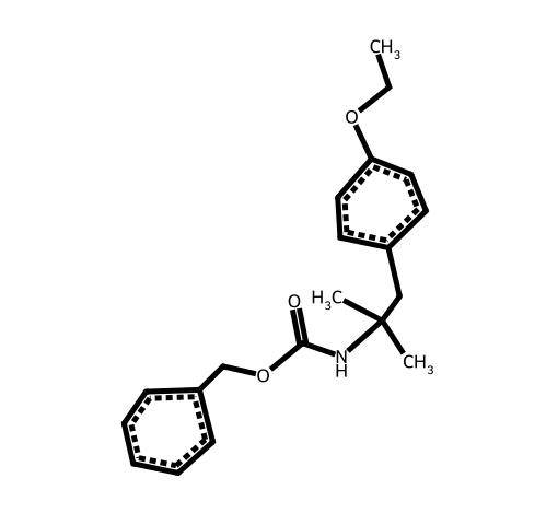 CCOc1ccc(CC(C)(C)NC(=O)OCc2ccccc2)cc1